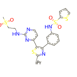 CC(C)c1nc(-c2cccc(NS(=O)(=O)c3cccs3)c2)c(-c2ccnc(NCCS(C)(=O)=O)n2)s1